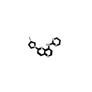 F[C@H]1CCN(c2ccc3nccc(NC4=NCCCO4)c3n2)C1